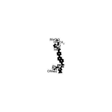 COC(=O)N[C@@H](C)C(=O)N1CCC[C@H]1c1ncc(-c2ccc(-c3ccc4cc(-c5cnc([C@@H]6CC7(CC7)CN6C(=O)[C@@H](NC(=O)OC)C(C)C)[nH]5)ccc4c3)cc2)[nH]1